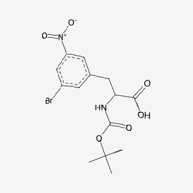 CC(C)(C)OC(=O)NC(Cc1cc(Br)cc([N+](=O)[O-])c1)C(=O)O